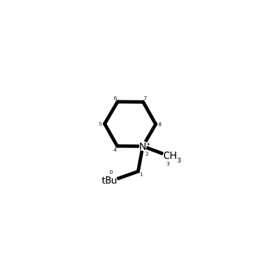 CC(C)(C)C[N+]1(C)CCCCC1